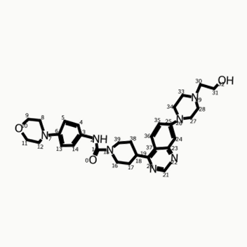 O=C(Nc1ccc(N2CCOCC2)cc1)N1CCC(c2ncnc3cc(N4CCN(CCO)CC4)ccc23)CC1